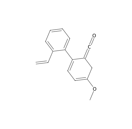 C=Cc1ccccc1C1=CC=C(OC)CC1=C=O